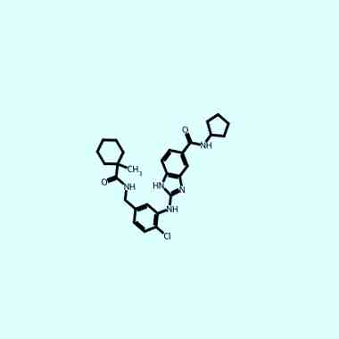 CC1(C(=O)NCc2ccc(Cl)c(Nc3nc4cc(C(=O)NC5CCCC5)ccc4[nH]3)c2)CCCCC1